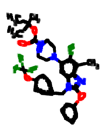 Cc1c(F)c(N2CCN(C(=O)OC(C)(C)C)CC2)cc2c1nc(Oc1ccccc1)n2Cc1ccc(OC(F)(F)F)cc1